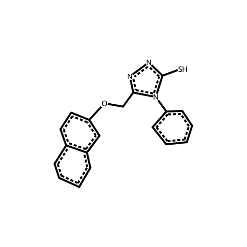 Sc1nnc(COc2ccc3ccccc3c2)n1-c1ccccc1